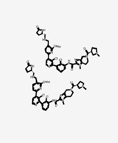 COc1nc(-c2ccnc(-c3cccc(NC(=O)c4nc5c(n4C)CCN(C(=O)[C@H]4CCN(C)C4)C5)c3Cl)c2Cl)ccc1CNC[C@@H]1CCC(=O)N1.COc1nc(-c2ccnc(-c3cccc(NC(=O)c4nc5c(n4C)CCN(C(=O)[C@H]4CCN(C)C4)C5)c3Cl)c2Cl)ccc1CNC[C@@H]1CCC(=O)N1